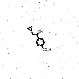 N#CC(CC1CC1)c1ccc(C(=O)O)cc1